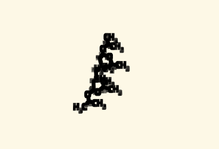 CC(C)OC(C[SiH2]C[SiH2]CC(OC(C)C)OC(C)C)OC(C)C